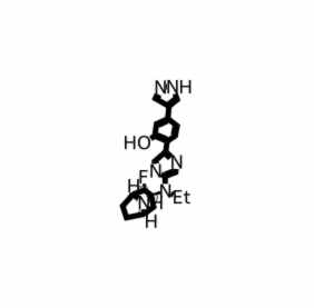 CCN(c1cnc(-c2ccc(-c3cn[nH]c3)cc2O)cn1)[C@H]1C[C@@H]2CC[C@@H](N2)[C@H]1F